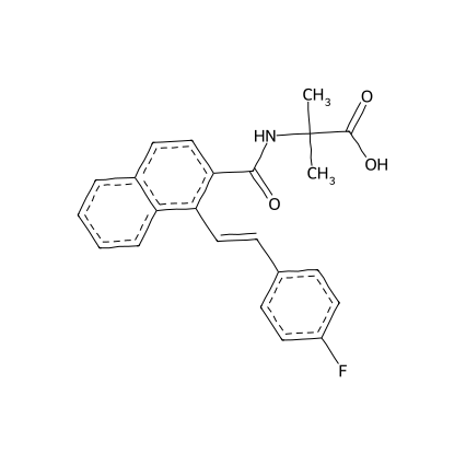 CC(C)(NC(=O)c1ccc2ccccc2c1C=Cc1ccc(F)cc1)C(=O)O